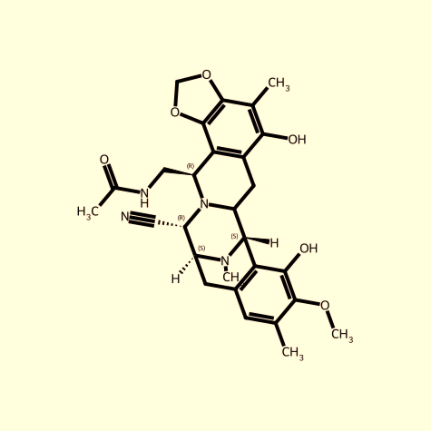 COc1c(C)cc2c(c1O)[C@H]1C3Cc4c(O)c(C)c5c(c4[C@H](CNC(C)=O)N3[C@@H](C#N)[C@H](C2)N1C)OCO5